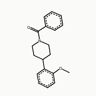 COc1cc[c]cc1C1CCN(C(=O)c2ccccc2)CC1